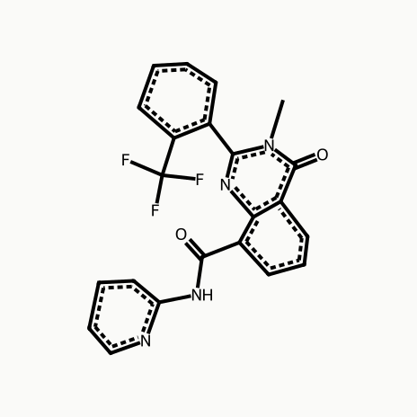 Cn1c(-c2ccccc2C(F)(F)F)nc2c(C(=O)Nc3ccccn3)cccc2c1=O